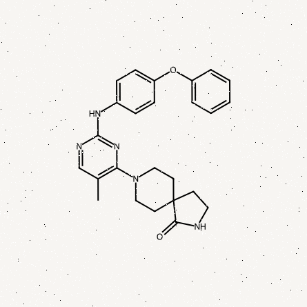 Cc1cnc(Nc2ccc(Oc3ccccc3)cc2)nc1N1CCC2(CCNC2=O)CC1